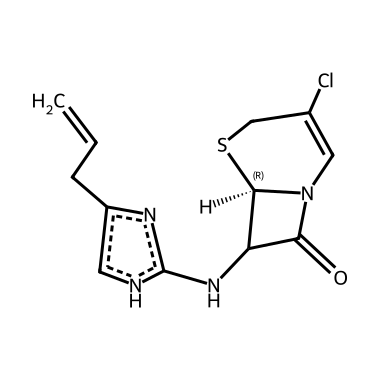 C=CCc1c[nH]c(NC2C(=O)N3C=C(Cl)CS[C@H]23)n1